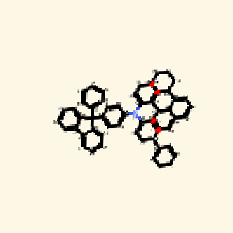 c1ccc(-c2ccc(N(c3ccc(C4(c5ccccc5)c5ccccc5-c5ccccc54)cc3)c3ccccc3-c3cccc4cccc(C5CCCCC5)c34)cc2)cc1